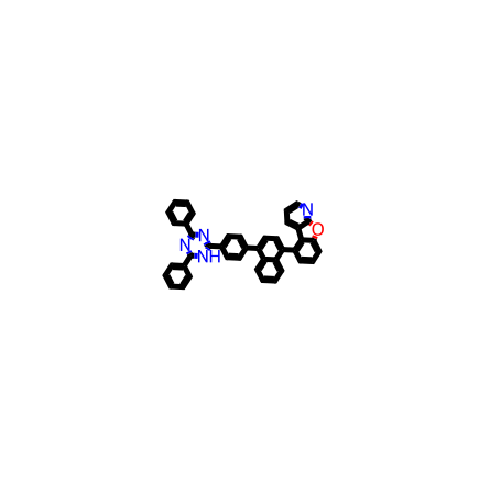 c1ccc(C2=NC(c3ccccc3)NC(c3ccc(-c4ccc(-c5cccc6oc7ncccc7c56)c5ccccc45)cc3)=N2)cc1